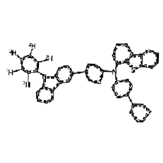 [2H]c1c([2H])c([2H])c(-n2c3ccccc3c3cc(-c4ccc(N(c5ccc(-c6ccccc6)cc5)c5cccc6c5sc5ccccc56)cc4)ccc32)c([2H])c1[2H]